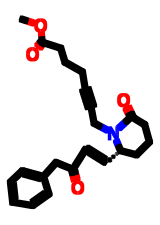 COC(=O)CCCC#CCN1C(=O)CCC[C@@H]1C=CC(=O)Cc1ccccc1